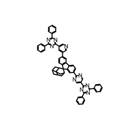 c1ccc(-c2nc(-c3ccccc3)nc(-c3cnc(-c4ccc5c(c4)C4(c6ccc(-c7cncc(-c8nc(-c9ccccc9)nc(-c9ccccc9)n8)c7)cc6-5)C5CC6CC(C5)CC4C6)nc3)n2)cc1